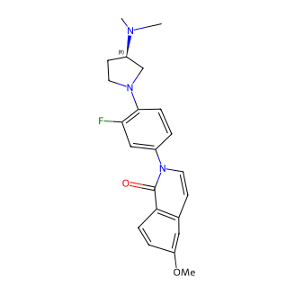 COc1ccc2c(=O)n(-c3ccc(N4CC[C@@H](N(C)C)C4)c(F)c3)ccc2c1